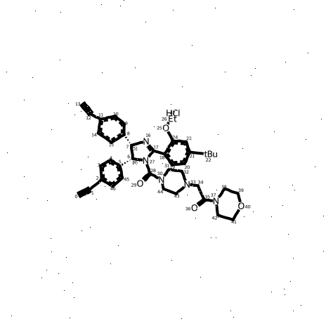 C#Cc1ccc([C@@H]2[C@H](c3ccc(C#C)cc3)N=C(c3ccc(C(C)(C)C)cc3OCC)N2C(=O)N2CCN(CC(=O)N3CCOCC3)CC2)cc1.Cl